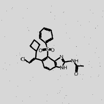 CC(=O)Nc1nc2c(S(=O)(=O)c3ccccc3)c(C(=CCl)C3CCC3)ccc2[nH]1